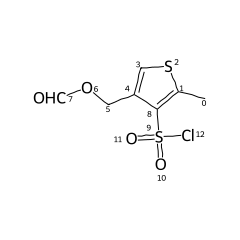 Cc1scc(COC=O)c1S(=O)(=O)Cl